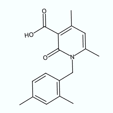 Cc1ccc(Cn2c(C)cc(C)c(C(=O)O)c2=O)c(C)c1